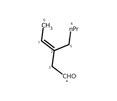 CC=C(C[C]=O)CCCC